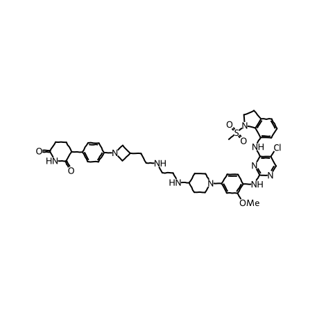 COc1cc(N2CCC(NCCNCCC3CN(c4ccc(C5CCC(=O)NC5=O)cc4)C3)CC2)ccc1Nc1ncc(Cl)c(Nc2cccc3c2N(S(C)(=O)=O)CC3)n1